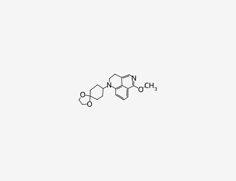 COc1ncc2c3c(cccc13)N(C1CCC3(CC1)OCCO3)CC2